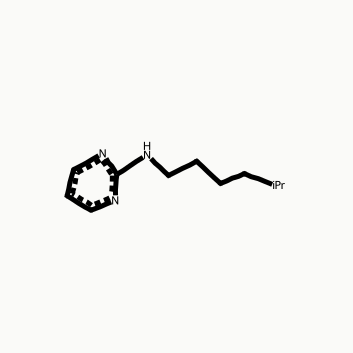 CC(C)CCCCNc1ncccn1